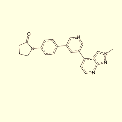 Cn1cc2c(-c3cncc(-c4ccc(N5CCCC5=O)cc4)c3)ccnc2n1